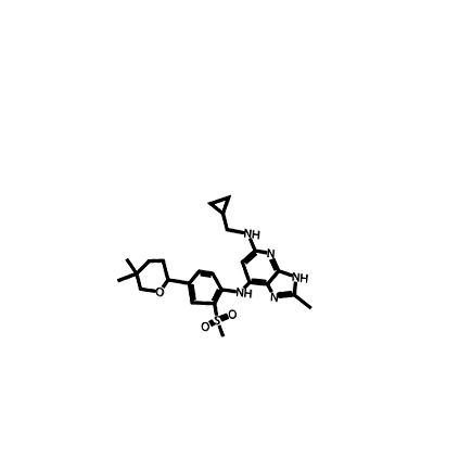 Cc1nc2c(Nc3ccc(C4CCC(C)(C)CO4)cc3S(C)(=O)=O)cc(NCC3CC3)nc2[nH]1